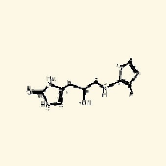 Cc1ccsc1NCC(O)Cc1c[nH]c(=O)[nH]1